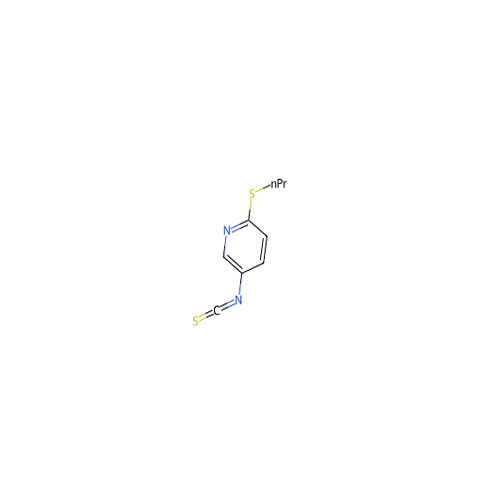 CCCSc1ccc(N=C=S)cn1